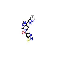 CC1c2nn(C)c(-c3cc(C(F)(F)F)n(C)n3)c2CCN1C(=O)c1cnc2ncsc2c1